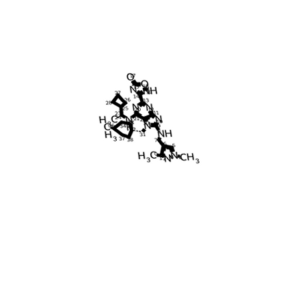 Cc1nn(C)cc1CNc1nc2nc(-c3nc(=O)o[nH]3)nc(N[C@H](C)C3CCC3)c2n1C[C@H]1CC[C@H](C)CC1